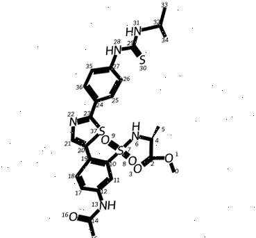 COC(=O)[C@H](C)NS(=O)(=O)c1cc(NC(C)=O)ccc1-c1cnc(-c2ccc(NC(=S)NC(C)C)cc2)s1